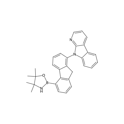 CC1(C)NB(c2cccc3c2-c2cccc(-n4c5ccccc5c5cccnc54)c2C3)OC1(C)C